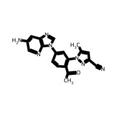 CC(=O)c1ccc(-n2cnc3cc(N)cnc32)cc1-n1nc(C#N)cc1C